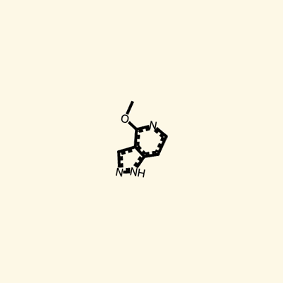 COc1nccc2[nH]ncc12